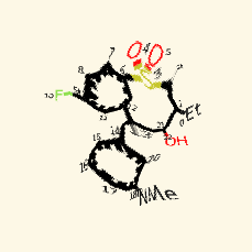 CCC1CS(=O)(=O)c2ccc(F)cc2C(c2cccc(NC)c2)C1O